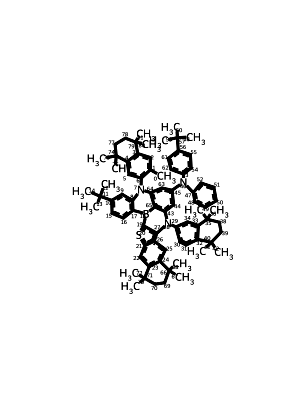 Cc1cc2c(cc1N1c3cc(C(C)(C)C)ccc3B3c4sc5cc6c(cc5c4N(c4ccc5c(c4)C(C)(C)CCC5(C)C)c4cc(N(c5ccccc5)c5ccc(C(C)(C)C)cc5)cc1c43)C(C)(C)CCC6(C)C)C(C)(C)CCC2(C)C